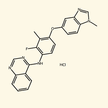 Cc1c(Oc2ccc3c(c2)ncn3C)ccc(Nc2ncnc3ccccc23)c1F.Cl